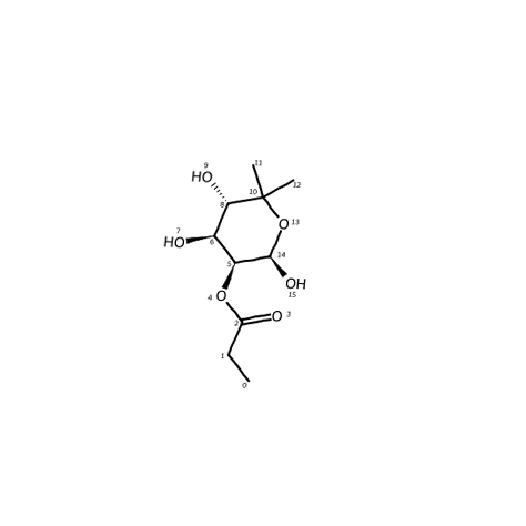 CCC(=O)O[C@H]1[C@@H](O)[C@H](O)C(C)(C)O[C@H]1O